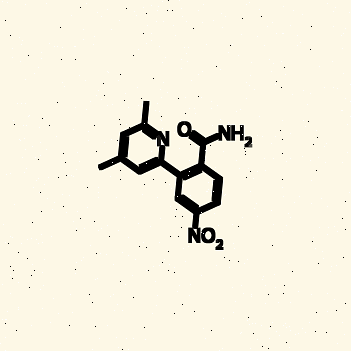 Cc1cc(C)nc(-c2cc([N+](=O)[O-])ccc2C(N)=O)c1